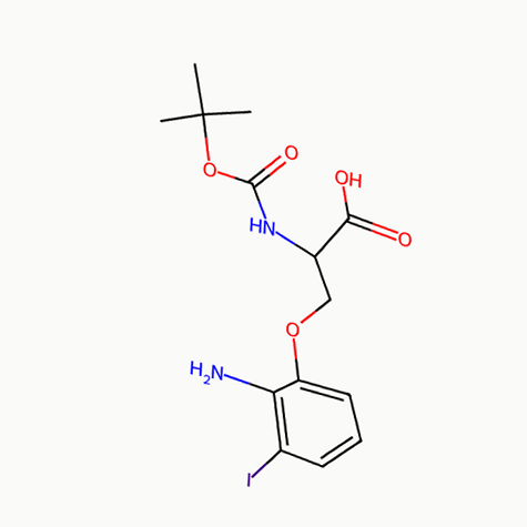 CC(C)(C)OC(=O)NC(COc1cccc(I)c1N)C(=O)O